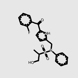 CC(CO)S(=O)(=O)N(Cc1ccc(C(=O)c2ccccc2F)[nH]1)c1ccccc1